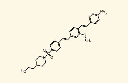 COc1cc(/C=C/c2ccc(S(=O)(=O)N3CCN(CCO)CC3)cc2)ccc1/C=C/c1ccc(N)cc1